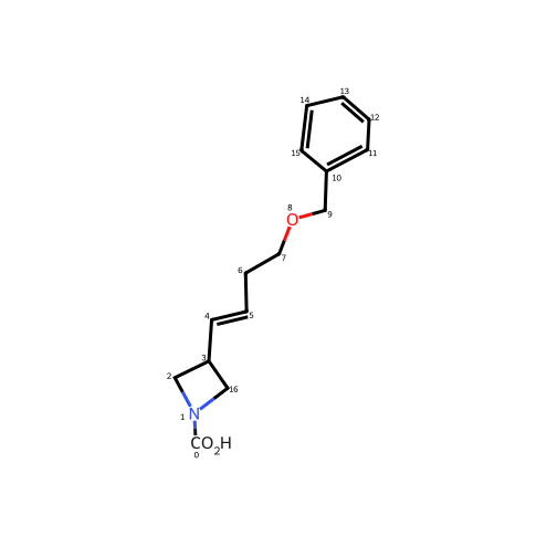 O=C(O)N1CC(/C=C/CCOCc2ccccc2)C1